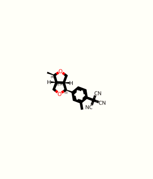 Cc1cc([C@H]2OC[C@H]3[C@@H]2CO[C@@H]3C)ccc1C(C#N)(C#N)C#N